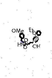 CCOc1ccccc1N1CCN(CCCN2C(=O)N/C(=C/c3ccc(OC)cc3)C2=O)CC1.Cl